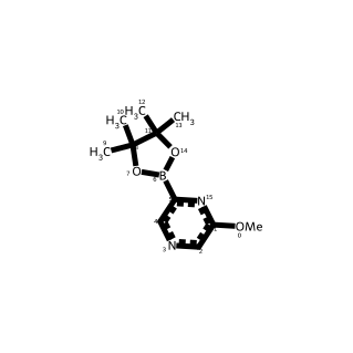 COc1cncc(B2OC(C)(C)C(C)(C)O2)n1